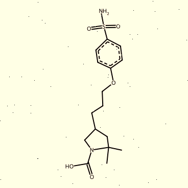 CC1(C)CC(CCCOc2ccc(S(N)(=O)=O)cc2)CN1C(=O)O